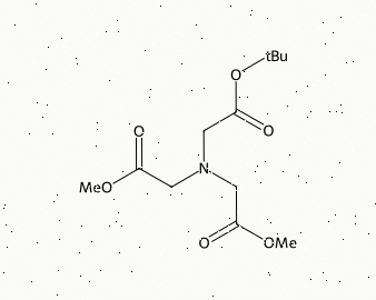 COC(=O)CN(CC(=O)OC)CC(=O)OC(C)(C)C